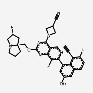 C#Cc1c(F)ccc2cc(O)cc(-c3ncc4c(N5CC(C#N)C5)nc(OC[C@@]56CCCN5C[C@H](F)C6)nc4c3F)c12